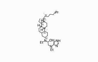 CCN(CC(O)N(CC)[C@H]1CC[C@@]2(C)C(CC[C@H]3[C@@H]4CC[C@H]([C@H](C)CCCC(C)C)[C@@]4(C)CC[C@@H]32)C1)c1c[nH]cn1